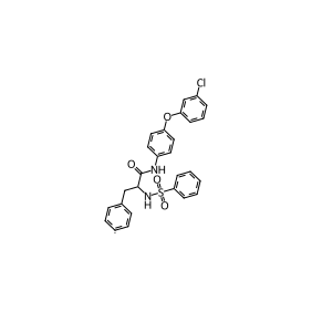 O=C(Nc1ccc(Oc2cccc(Cl)c2)cc1)C(Cc1cc[c]cc1)NS(=O)(=O)c1ccccc1